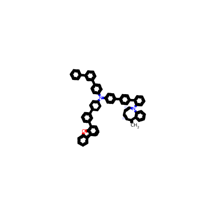 C=C1/C=C\C=C/N(c2ccccc2-c2ccc(-c3ccc(N(C4=CC=C(c5cccc(-c6cc#cc7c6oc6ccccc67)c5)CC4)c4ccc(-c5cccc(-c6ccccc6)c5)cc4)cc3)cc2)c2ccccc21